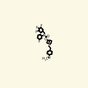 COc1ccc(CC[N+]23CCC(CC2)C(OC(=O)N(Cc2cc(F)c(F)c(F)c2)c2cccc(F)c2)C3)cc1